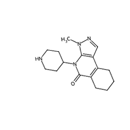 Cn1ncc2c3c(c(=O)n(C4CCNCC4)c21)CCCC3